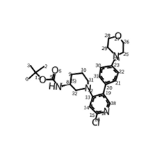 CC(C)(C)OC(=O)N[C@H]1CCCN(c2cc(Cl)ncc2-c2ccc(N3CCOCC3)cc2)C1